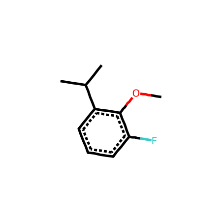 COc1c(F)cccc1C(C)C